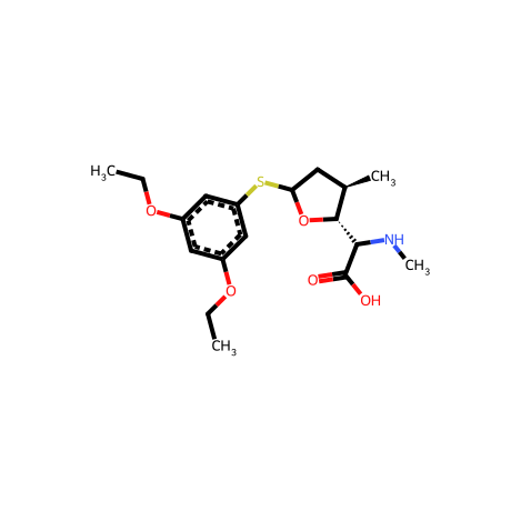 CCOc1cc(OCC)cc(SC2C[C@@H](C)[C@H](C(NC)C(=O)O)O2)c1